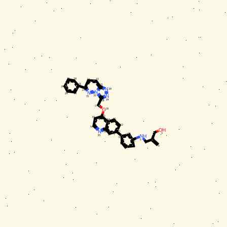 C=C(CO)CNc1cccc(-c2ccc3c(OCc4nnc5ccc(-c6ccccc6)nn45)ccnc3c2)c1